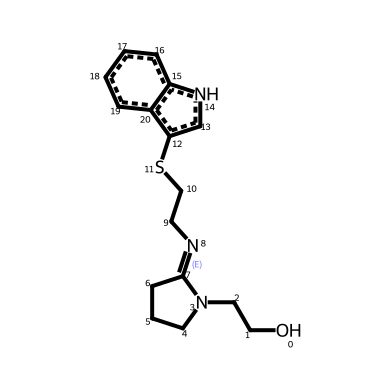 OCCN1CCC/C1=N\CCSc1c[nH]c2ccccc12